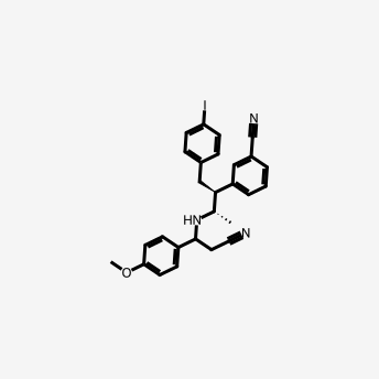 COc1ccc(C(CC#N)N[C@@H](C)[C@@H](Cc2ccc(I)cc2)c2cccc(C#N)c2)cc1